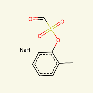 Cc1ccccc1OS(=O)(=O)C=O.[NaH]